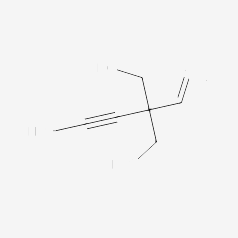 C=CC(C#C[SiH3])(CC)CC